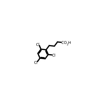 O=C(O)CCCc1c(Cl)cc(Cl)cc1Cl